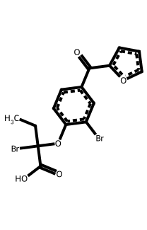 CCC(Br)(Oc1ccc(C(=O)c2ccco2)cc1Br)C(=O)O